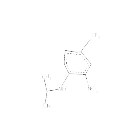 CC(C#N)Nc1ccc(C(F)(F)F)cc1[N+](=O)[O-]